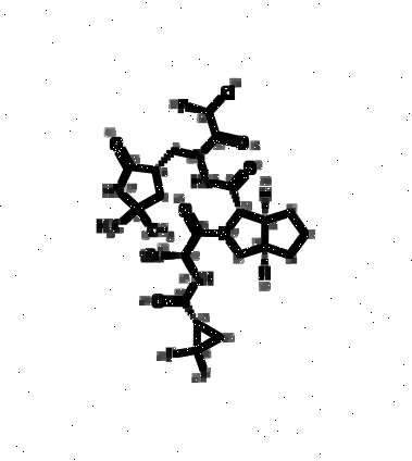 CC1(C)C[C@@H](CN(NC(=O)[C@@H]2[C@H]3CCC[C@H]3CN2C(=O)[C@@H](NC(=O)[C@@H]2CC2(F)F)C(C)(C)C)C(=O)[C@@H](F)Cl)C(=O)N1